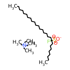 CCCCCCCCCCCCCCCCCCC(F)(CCCCCCCC)S(=O)(=O)[O-].CC[N+](CC)(CC)CC